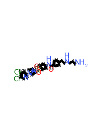 NCCCNCCc1ccc(C(=O)Nc2ccc(S(=O)(=O)N3CCN(c4cc(Cl)c(Cl)cn4)CC3)cc2)cc1